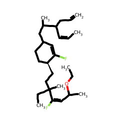 C=CCC(/C=C\C)C(C)CC1C=C(F)[C@@H](CCC(C)(CC)/C(F)=C\C(C)OCC)CC1